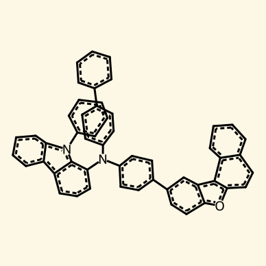 c1ccc(-c2ccc(N(c3ccc(-c4ccc5oc6ccc7ccccc7c6c5c4)cc3)c3cccc4c5ccccc5n(-c5ccccc5)c34)cc2)cc1